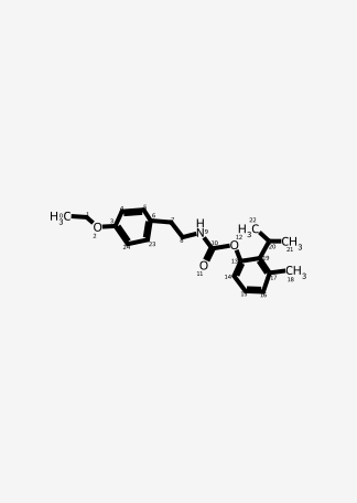 CCOc1ccc(CCNC(=O)Oc2cccc(C)c2C(C)C)cc1